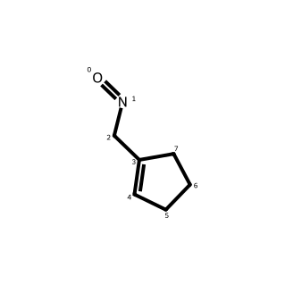 O=NCC1=CCCC1